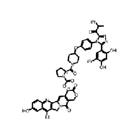 CCc1c2c(nc3ccc(O)cc13)-c1cc3c(c(=O)n1C2)COC(=O)[C@H]3OC(=O)N1CCC[C@H]1C(=O)N1CCC(Oc2ccc(-n3c(C(=O)C(C)C(C)C)nnc3-c3cc(C(C)C)c(O)cc3O)cc2)CC1